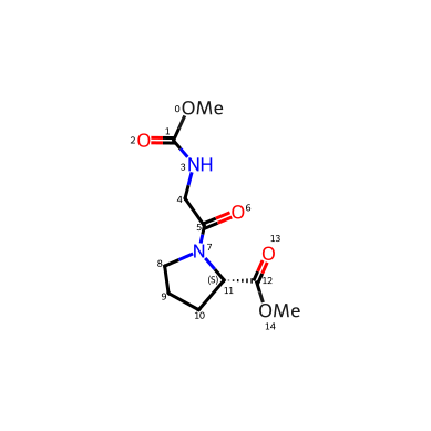 COC(=O)NCC(=O)N1CCC[C@H]1C(=O)OC